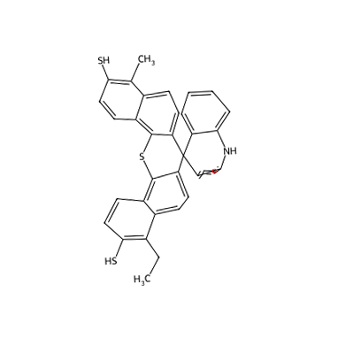 CCc1c(S)ccc2c3c(ccc12)C1(c2ccccc2Nc2ccccc21)c1ccc2c(C)c(S)ccc2c1S3